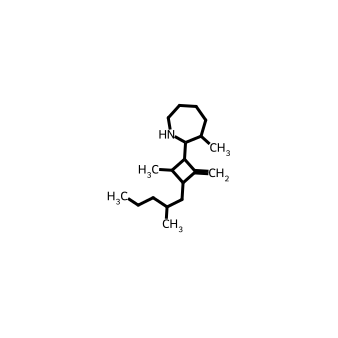 C=C1C(CC(C)CCC)C(C)C1C1NCCCCC1C